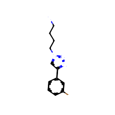 NCCCCn1cc(-c2cccc(Br)c2)nn1